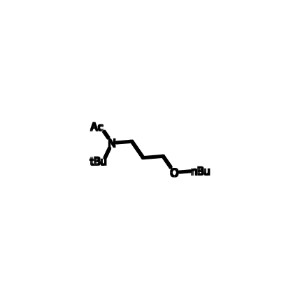 CCCCOCCCN(C(C)=O)C(C)(C)C